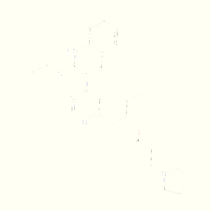 C=CCN/C(=N\c1ncnc2cc(OCCCN3CCCC3)c(OC)cc12)Nc1c(C)cccc1Cl